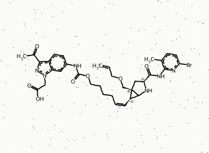 C=CCOC[C@@]12C[C@@H](C(=O)Nc3nc(Br)ccc3C)NC1[C@H]2/C=C\CCCCOC(=O)Nc1ccc2c(C(C)=O)nn(CC(=O)O)c2c1